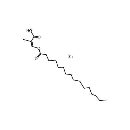 CCCCCCCCCCCCCCCC(=O)OC=C(C)C(=O)O.[Zn]